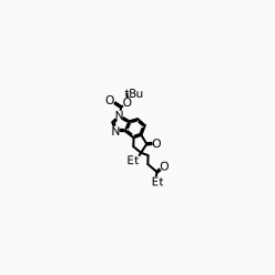 CCC(=O)CCC1(CC)Cc2c(ccc3c2ncn3C(=O)OC(C)(C)C)C1=O